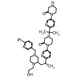 CC(C)c1ccc(CN2CCN(CCO)C(CC(C)c3ccc(N4CCN(C(C)(C)c5ccc(N6CCNCC6=O)cn5)CC4=O)cn3)C2)cn1